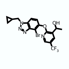 CC(O)c1cc(C(F)(F)F)cnc1Oc1ccc2c(nnn2CC2CC2)c1Br